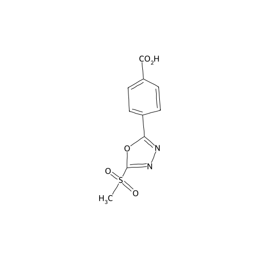 CS(=O)(=O)c1nnc(-c2ccc(C(=O)O)cc2)o1